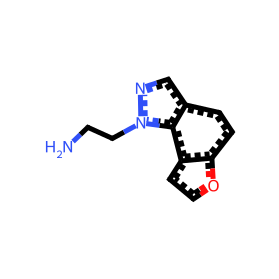 NCCn1ncc2ccc3occc3c21